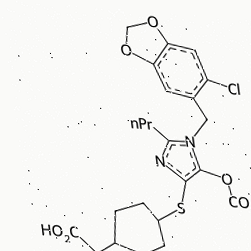 CCCc1nc(SC2CCC(CC(=O)O)CC2)c(OC(=O)O)n1Cc1cc2c(cc1Cl)OCO2